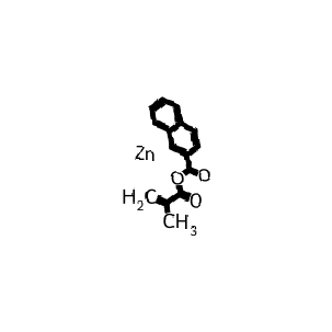 C=C(C)C(=O)OC(=O)c1ccc2ccccc2c1.[Zn]